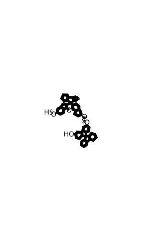 Oc1ccc(C2(c3ccc(OSOc4ccc5c6c(ccc5c4)C4(c5ccccc5-c5ccccc54)c4ccc5cc(OS)ccc5c4O6)cc3)c3ccccc3-c3ccccc32)cc1